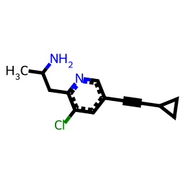 CC(N)Cc1ncc(C#CC2CC2)cc1Cl